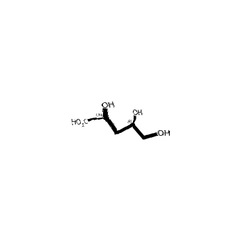 O=C(O)[C@@H](O)C[C@@H](O)CO